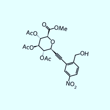 COC(=O)[C@H]1O[C@@H](C#Cc2cc([N+](=O)[O-])ccc2CO)[C@H](OC(C)=O)[C@@H](OC(C)=O)[C@@H]1OC(C)=O